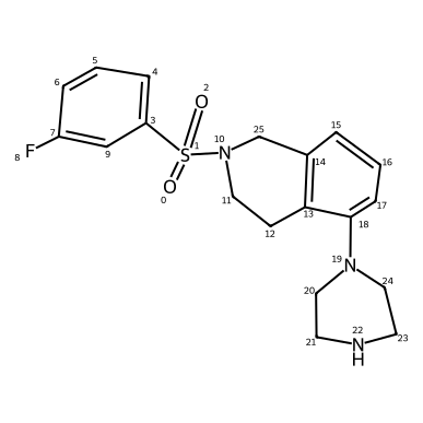 O=S(=O)(c1cccc(F)c1)N1CCc2c(cccc2N2CCNCC2)C1